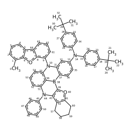 Cc1cccc2c1oc1c(N3c4cc(N(c5ccc(C(C)(C)C)cc5)c5ccc(C(C)(C)C)cc5)ccc4B4c5oc6c(c5N(c5ccccc5)c5cccc3c54)CCCC6)cccc12